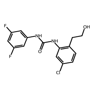 O=C(Nc1cc(F)cc(F)c1)Nc1cc(Cl)ccc1CCO